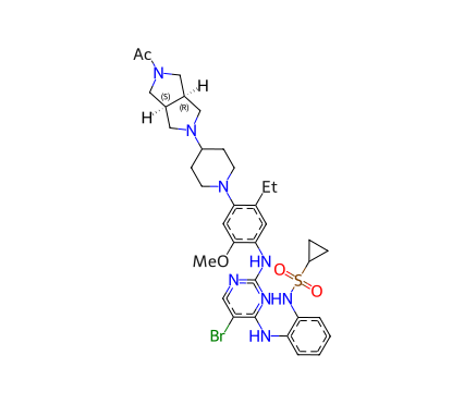 CCc1cc(Nc2ncc(Br)c(Nc3ccccc3NS(=O)(=O)C3CC3)n2)c(OC)cc1N1CCC(N2C[C@H]3CN(C(C)=O)C[C@H]3C2)CC1